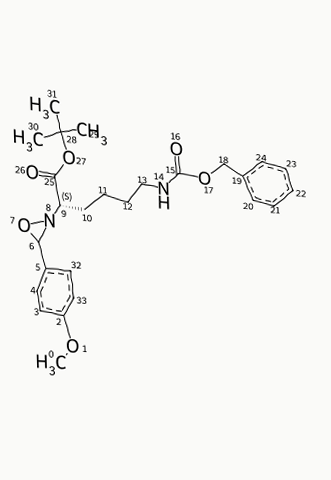 COc1ccc(C2ON2[C@@H](CCCCNC(=O)OCc2ccccc2)C(=O)OC(C)(C)C)cc1